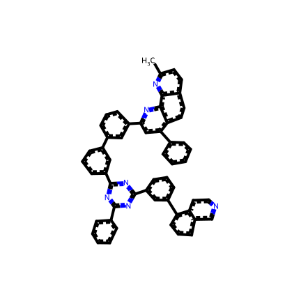 Cc1ccc2ccc3c(-c4ccccc4)cc(-c4cccc(-c5cccc(-c6nc(-c7ccccc7)nc(-c7cccc(-c8cccc9cnccc89)c7)n6)c5)c4)nc3c2n1